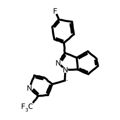 Fc1ccc(-c2nn([CH]c3ccnc(C(F)(F)F)c3)c3ccccc23)cc1